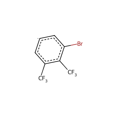 FC(F)(F)c1c[c]cc(Br)c1C(F)(F)F